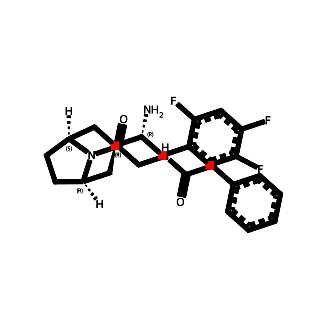 N[C@H](Cc1cc(F)c(F)cc1F)[C@H]1C[C@H]2CC[C@@H](C1)N2C(=O)CNC(=O)Cc1ccccc1